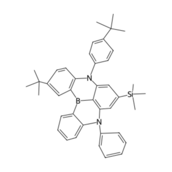 CC(C)(C)c1ccc(N2c3ccc(C(C)(C)C)cc3B3c4ccccc4N(c4ccccc4)c4cc([Si](C)(C)C)cc2c43)cc1